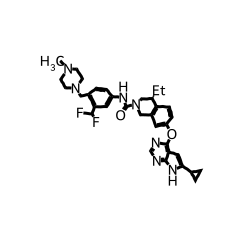 CC[C@H]1CN(C(=O)Nc2ccc(CN3CCN(C)CC3)c(C(F)F)c2)Cc2cc(Oc3ncnc4[nH]c(C5CC5)cc34)ccc21